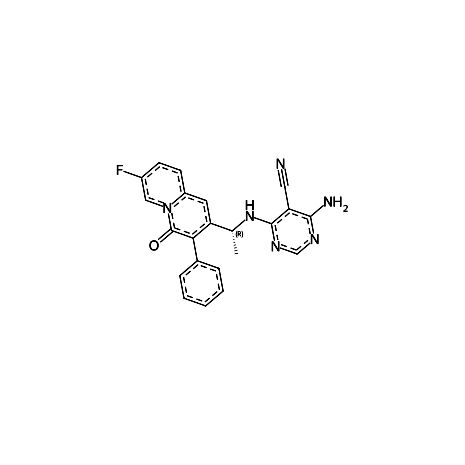 C[C@@H](Nc1ncnc(N)c1C#N)c1cc2ccc(F)cn2c(=O)c1-c1ccccc1